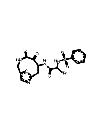 CC(C)C(NS(=O)(=O)c1ccccc1)C(=O)NC1Cc2ncc(o2)CNC(=O)C1=O